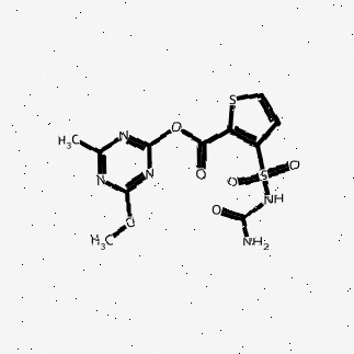 COc1nc(C)nc(OC(=O)c2sccc2S(=O)(=O)NC(N)=O)n1